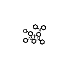 Clc1cccc(N(c2ccccc2)c2cccc(N(c3ccccc3)c3ccc(N(c4ccccc4)c4ccccc4)cc3Cl)c2)c1